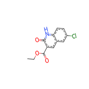 CCOC(=O)c1cc2cc(Cl)ccc2[nH]c1=O